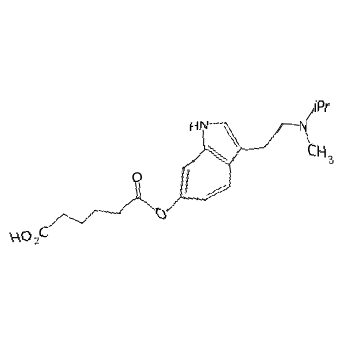 CC(C)N(C)CCc1c[nH]c2cc(OC(=O)CCCCC(=O)O)ccc12